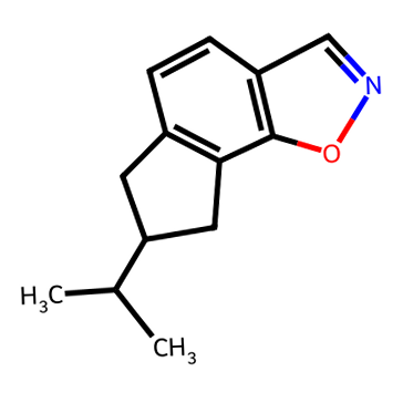 CC(C)C1Cc2ccc3cnoc3c2C1